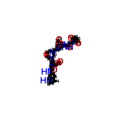 C=C1C=C(C)c2ccc(NC(=O)CN(CCN3CCOCCN(CCN(COC=O)CC(=O)NNC(=O)CCN4C(=O)C=CC4=O)CC3)COC=O)cc2N1